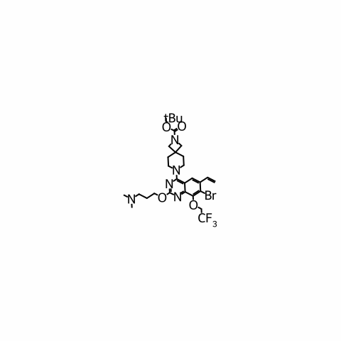 C=Cc1cc2c(N3CCC4(CC3)CN(C(=O)OC(C)(C)C)C4)nc(OCCCN(C)C)nc2c(OCC(F)(F)F)c1Br